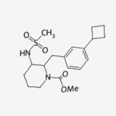 COC(=O)N1CCCC(NS(C)(=O)=O)C1Cc1cccc(C2CCC2)c1